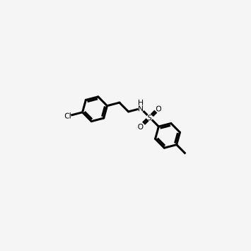 Cc1ccc(S(=O)(=O)NCCc2ccc(Cl)cc2)cc1